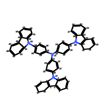 C1=Cc2c(c3ccccc3n2-c2ccc(N(c3ccc(-n4c5c(c6ccccc64)C=CCC5)cc3)c3ccc(-n4c5ccccc5c5ccccc54)cc3)cc2)CC1